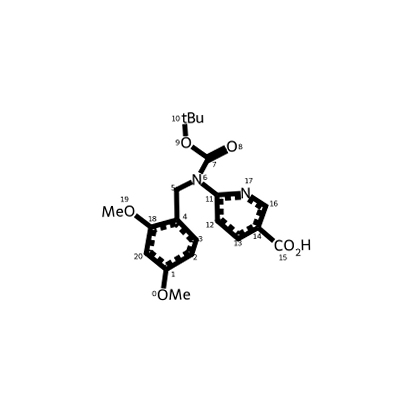 COc1ccc(CN(C(=O)OC(C)(C)C)c2ccc(C(=O)O)cn2)c(OC)c1